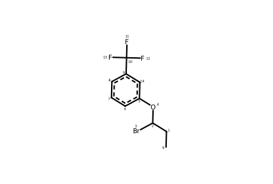 CCC(Br)Oc1cccc(C(F)(F)F)c1